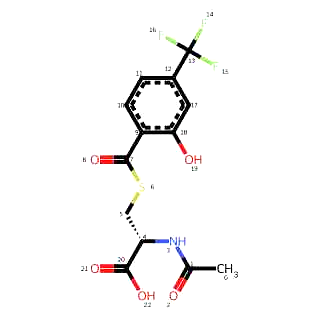 CC(=O)N[C@@H](CSC(=O)c1ccc(C(F)(F)F)cc1O)C(=O)O